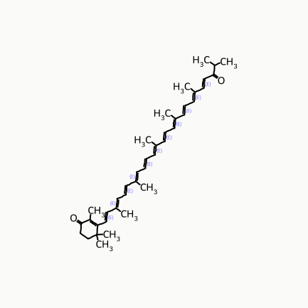 CC1=C(/C=C/C(C)=C/C=C/C(C)=C/C=C/C=C(C)/C=C/C=C(C)/C=C/C=C(C)/C=C/C(=O)C(C)C)C(C)(C)CCC1=O